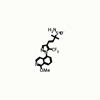 COc1nccc2c(-n3ncc(C=CC(C)(C)[S+](N)[O-])c3C(F)(F)F)cccc12